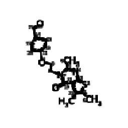 Cc1sc2nc(C)n(CCOc3ccc(C=O)cc3)c(=O)c2c1C